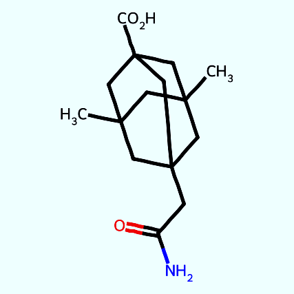 CC12CC3(C)CC(CC(N)=O)(C1)CC(C(=O)O)(C2)C3